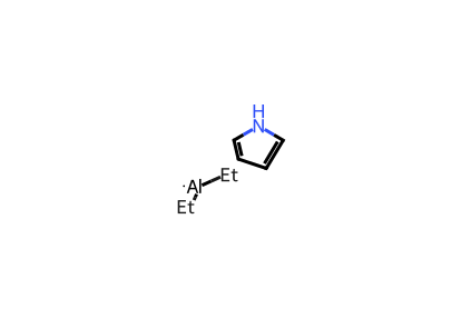 C[CH2][Al][CH2]C.c1cc[nH]c1